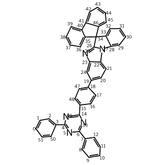 c1ccc(-c2nc(-c3ccccc3)nc(-c3ccc(-c4ccc5c(c4)nc4n5-c5ccccc5C45c4ccccc4-c4ccccc45)cc3)n2)cc1